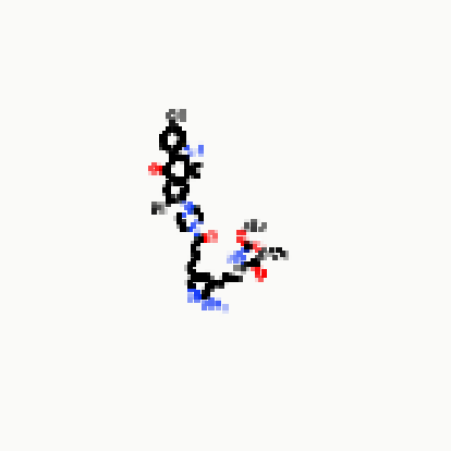 CCc1cc2c(cc1N1CCN(C(=O)CCCc3cnc(N)c(CCC[C@H](NC(=O)OC(C)(C)C)C(=O)OC)c3)CC1)C(C)(C)c1[nH]c3cc(C#N)ccc3c1C2=O